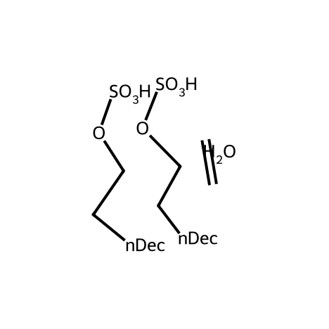 C=C.CCCCCCCCCCCCOS(=O)(=O)O.CCCCCCCCCCCCOS(=O)(=O)O.O